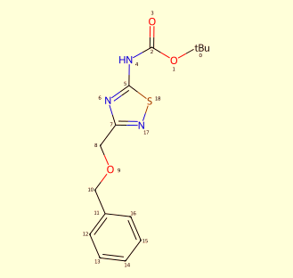 CC(C)(C)OC(=O)Nc1nc(COCc2ccccc2)ns1